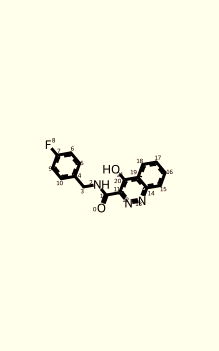 O=C(NCc1ccc(F)cc1)c1nnc2ccccc2c1O